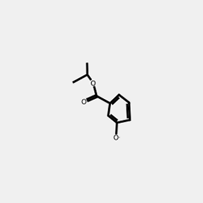 CC(C)OC(=O)c1cccc([O])c1